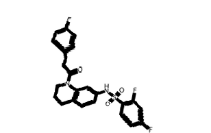 O=C(Cc1ccc(F)cc1)N1CCCc2ccc(NS(=O)(=O)c3ccc(F)cc3F)cc21